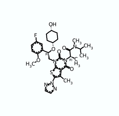 COc1ccc(F)cc1[C@H](Cn1c(=O)n([C@H](C)C(=O)N(C)C(C)C)c(=O)c2c(C)c(-n3nccn3)sc21)O[C@H]1CC[C@@H](O)CC1